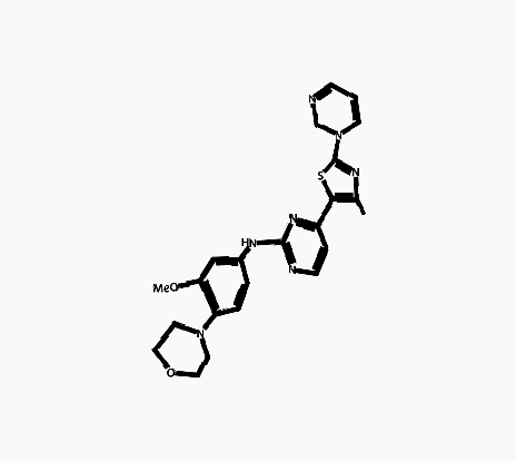 COc1cc(Nc2nccc(-c3sc(N4C=CC=NC4)nc3C)n2)ccc1N1CCOCC1